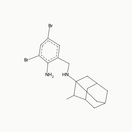 CC1C2CC3CC(C2)CC1(NCc1cc(Br)cc(Br)c1N)C3